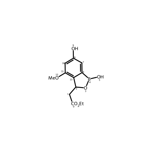 CCOC(=O)CC1OB(O)c2cc(O)cc(OC)c21